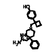 NN(N)CC1(c2ccccc2)CCN(CC2(c3ccc(O)cc3)CCC2)CC1